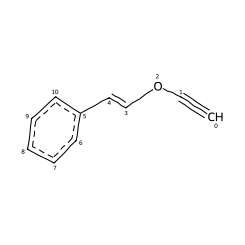 C#COC=Cc1ccccc1